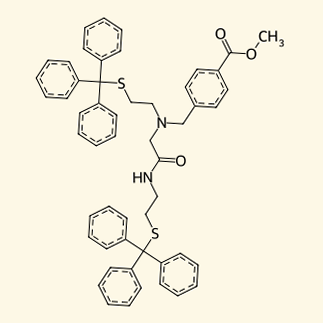 COC(=O)c1ccc(CN(CCSC(c2ccccc2)(c2ccccc2)c2ccccc2)CC(=O)NCCSC(c2ccccc2)(c2ccccc2)c2ccccc2)cc1